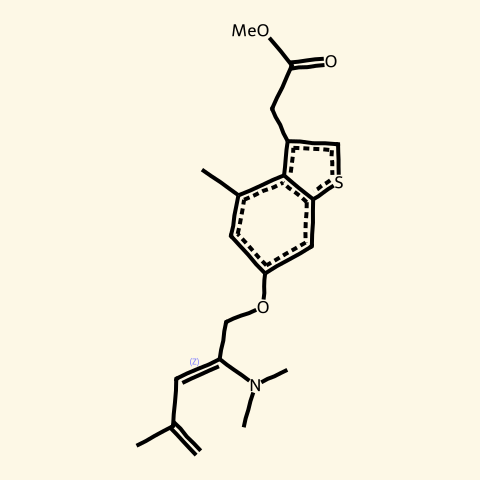 C=C(C)/C=C(/COc1cc(C)c2c(CC(=O)OC)csc2c1)N(C)C